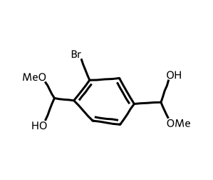 COC(O)c1ccc(C(O)OC)c(Br)c1